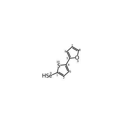 [SeH]c1ccc(-c2ccco2)s1